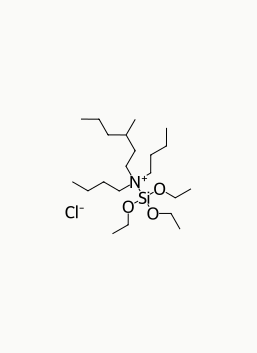 CCCC[N+](CCCC)(CCC(C)CCC)[Si](OCC)(OCC)OCC.[Cl-]